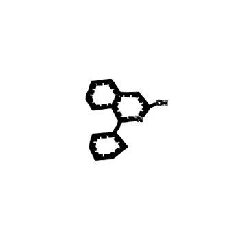 Oc1cc2ccccc2c(-c2ccccc2)n1